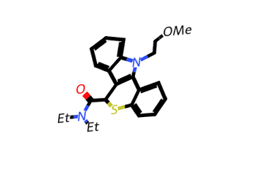 CCN(CC)C(=O)C1Sc2ccccc2-c2c1c1ccccc1n2CCOC